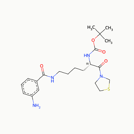 CC(C)(C)OC(=O)N[C@@H](CCCCNC(=O)c1cccc(N)c1)C(=O)N1CCSC1